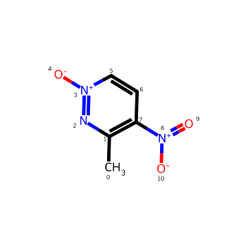 Cc1n[n+]([O-])ccc1[N+](=O)[O-]